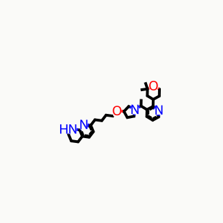 CC(c1cccnc1C1CCOC(C)(C)C1)N1CCC(OCCCCc2ccc3c(n2)NCCC3)C1